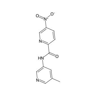 Cc1cncc(NC(=O)c2ccc([N+](=O)[O-])cn2)c1